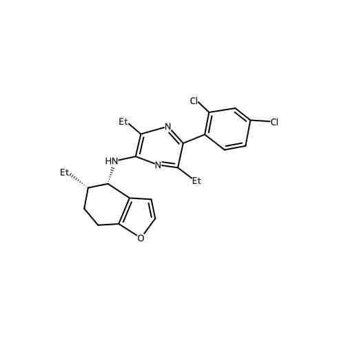 CCc1nc(-c2ccc(Cl)cc2Cl)c(CC)nc1N[C@@H]1c2ccoc2CC[C@@H]1CC